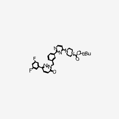 CC(C)(C)OC(=O)N1CCN(c2ccnc(-c3cccc(Cn4nc(-c5cc(F)cc(F)c5)ccc4=O)c3)n2)CC1